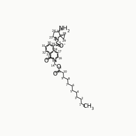 CCCCCCCCCCCC(=O)OCn1ccc2c([S+]([O-])N3CCC(N)C34CC4)cccc2c1=O